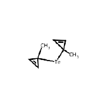 CC1([Te]C2(C)C=C2)C=C1